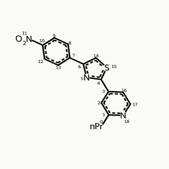 CCCc1cc(-c2nc(-c3ccc([N+](=O)[O-])cc3)cs2)ccn1